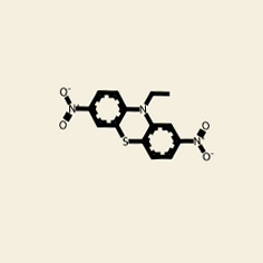 CCN1c2ccc([N+](=O)[O-])cc2Sc2ccc([N+](=O)[O-])cc21